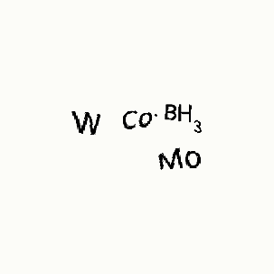 B.[Co].[Mo].[W]